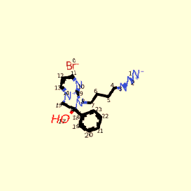 [Br-].[N-]=[N+]=NCCCCN1c2nccc[n+]2CC1(O)c1ccccc1